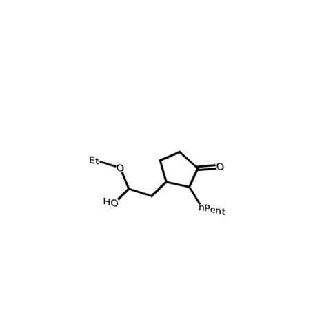 CCCCCC1C(=O)CCC1CC(O)OCC